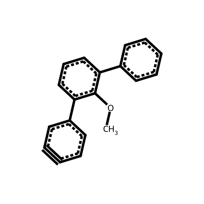 COc1c(-c2cc#ccc2)cccc1-c1ccccc1